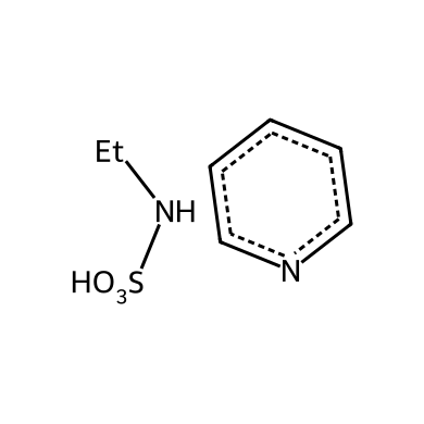 CCNS(=O)(=O)O.c1ccncc1